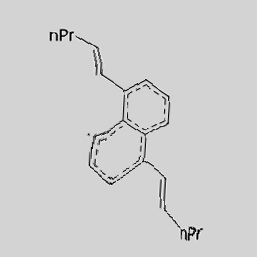 CCCC=Cc1cccc2c(C=CCCC)cc[c]c12